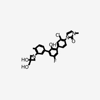 Cc1ccc(-c2cc(F)cc(-c3ccc(-n4ccn(C)c4=O)c(Cl)c3)c2O)cc1N1CC(O)(CO)C1